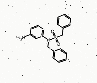 Nc1cccc(N(Cc2ccccc2)S(=O)(=O)Cc2ccccc2)c1